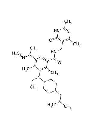 C=NN(C)c1cc(C(=O)NCc2c(C)cc(C)[nH]c2=O)c(C)c(N(CC)C2CCC(CN(C)C)CC2)c1C